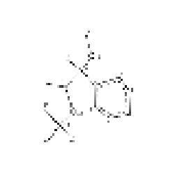 COC(C)(c1ccccc1)C(C)OC(C)(C)C